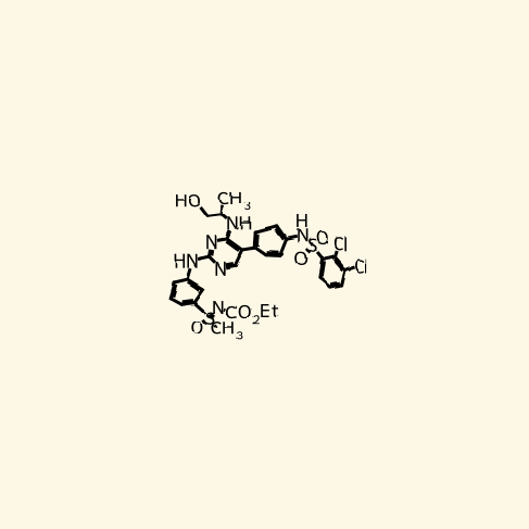 CCOC(=O)N=S(C)(=O)c1cccc(Nc2ncc(-c3ccc(NS(=O)(=O)c4cccc(Cl)c4Cl)cc3)c(N[C@H](C)CO)n2)c1